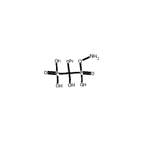 CCCC(O)(P(=O)(O)O)P(=O)(O)ON